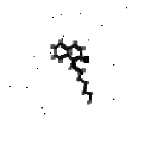 CCCCC/N=N/c1c(Cl)ccc2ccccc12